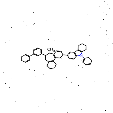 C[C@@H]1C2=C(CC(c3ccc4c(c3)c3c(n4C4=CC=CCC4)CCCC3)C=C2)C2=C(CCCC2)CC1c1cccc(C2=CCCC=C2)c1